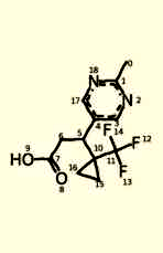 Cc1ncc(C(CC(=O)O)C2(C(F)(F)F)CC2)cn1